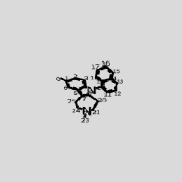 Cc1ccc2c(c1)c1c(n2-c2cccc3ccccc23)CCN(C)CC1